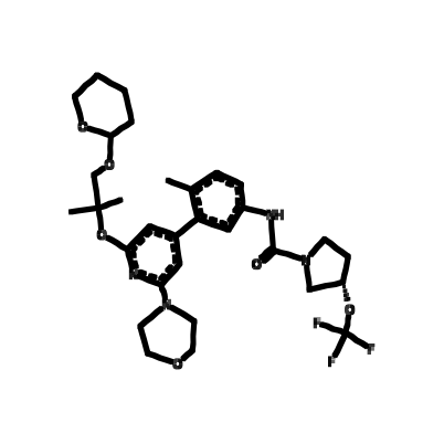 Cc1ccc(NC(=O)N2CC[C@H](OC(F)(F)F)C2)cc1-c1cc(OC(C)(C)COC2CCCCO2)nc(N2CCOCC2)c1